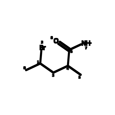 CC(Br)CC(C)C([NH])=O